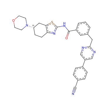 N#Cc1ccc(-c2cnc(Cc3cccc(C(=O)Nc4nc5c(s4)C[C@@H](N4CCOCC4)CC5)c3)nc2)cc1